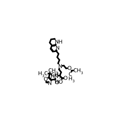 CC(C)OCCN(CCCCc1ccc2c(n1)NCCC2)CCC(NC(=O)c1ncoc1C(C)(C)C)C(=O)O